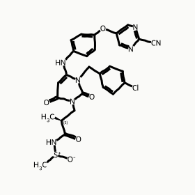 C[C@@H](Cn1c(=O)cc(Nc2ccc(Oc3cnc(C#N)nc3)cc2)n(Cc2ccc(Cl)cc2)c1=O)C(=O)N[S+](C)[O-]